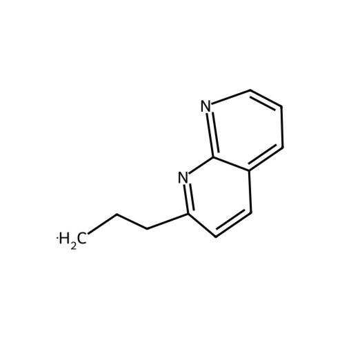 [CH2]CCc1ccc2cccnc2n1